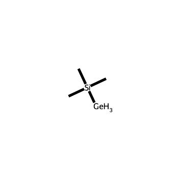 C[Si](C)(C)[GeH3]